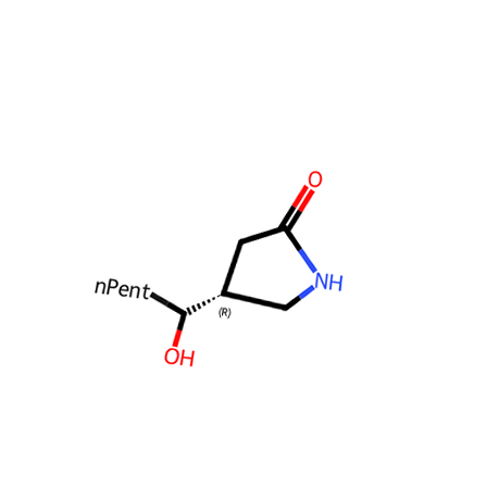 CCCCCC(O)[C@H]1CNC(=O)C1